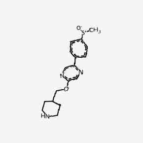 C[S+]([O-])c1ccc(-c2cnc(OCC3CCNCC3)cn2)cc1